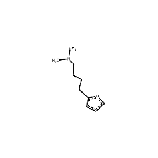 CN(C)CCCCc1cc[c]o1